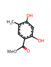 COC(=O)c1cc(C)c(O)cc1O